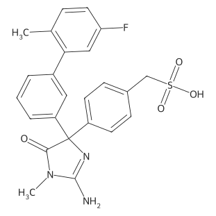 Cc1ccc(F)cc1-c1cccc(C2(c3ccc(CS(=O)(=O)O)cc3)N=C(N)N(C)C2=O)c1